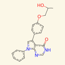 CC(O)COc1ccc(-c2cn(-c3ccccc3)c3nc[nH]c(=O)c23)cc1